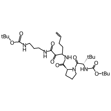 C=CCCC(NC(=O)[C@@H]1CCCN1C(=O)[C@@H](NC(=O)OC(C)(C)C)C(C)(C)C)C(=O)C(=O)NCCCNC(=O)OC(C)(C)C